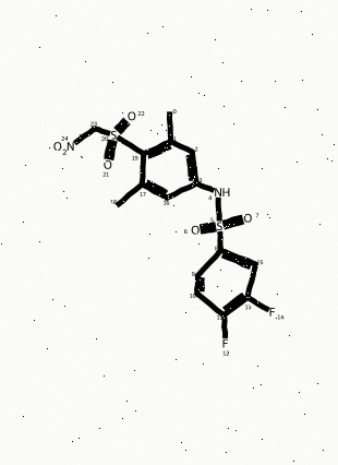 Cc1cc(NS(=O)(=O)c2ccc(F)c(F)c2)cc(C)c1S(=O)(=O)C[N+](=O)[O-]